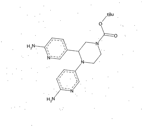 CC(C)(C)OC(=O)N1CCN(c2ccc(N)nc2)C(c2ccc(N)nc2)C1